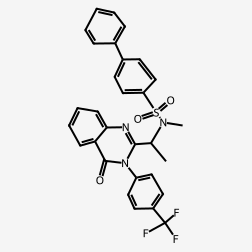 CC(c1nc2ccccc2c(=O)n1-c1ccc(C(F)(F)F)cc1)N(C)S(=O)(=O)c1ccc(-c2ccccc2)cc1